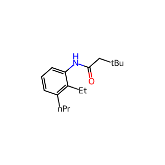 CCCc1cccc(NC(=O)CC(C)(C)C)c1CC